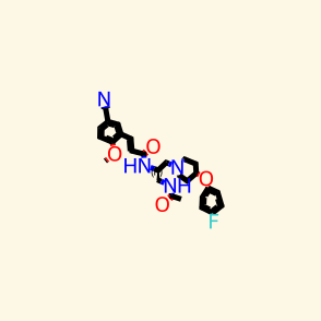 COc1ccc(C#N)cc1C=CC(=O)N[C@H](CNC(C)=O)CN1CCC(Oc2ccc(F)cc2)CC1